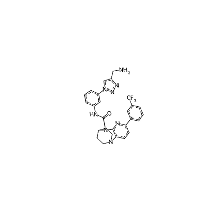 NCc1cn(-c2cccc(NC(=O)N3c4nc(-c5cccc(C(F)(F)F)c5)ccc4N4CCC3CC4)c2)nn1